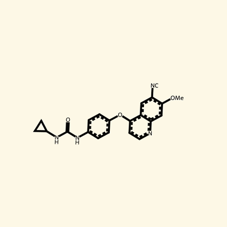 [C-]#[N+]c1cc2c(Oc3ccc(NC(=O)NC4CC4)cc3)ccnc2cc1OC